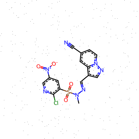 CN(N=Cc1cnn2ccc(C#N)cc12)S(=O)(=O)c1cc([N+](=O)[O-])cnc1Cl